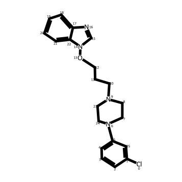 Clc1cccc(N2CCN(CCCOn3cnc4ccccc43)CC2)c1